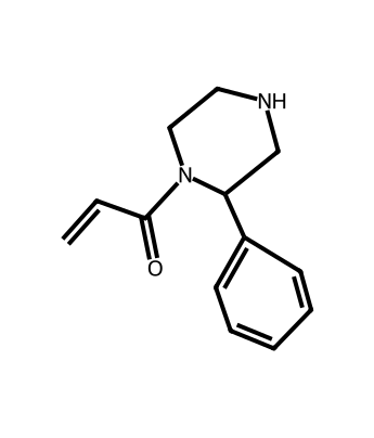 C=CC(=O)N1CCNCC1c1ccccc1